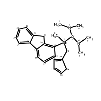 C[N](C)[Zr]([N](C)C)[Sn]([CH3])([CH2]C1=CC=CC1)[c]1cccc2c1Cc1ccccc1-2